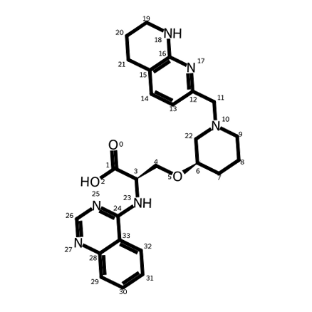 O=C(O)[C@@H](CO[C@@H]1CCCN(Cc2ccc3c(n2)NCCC3)C1)Nc1ncnc2ccccc12